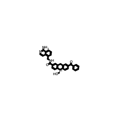 Nc1nccc2c(CNC(=O)c3ccc4c(c3)Cc3cc(C(=O)c5ccccc5)ccc3[C@@H]4CO)cccc12